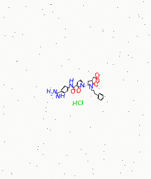 COC(=O)C[C@@H]1C[C@@H](Cn2cccc(C(=O)Nc3ccc(C(=N)N)cc3)c2=O)N(CCCc2ccccc2)C1=O.Cl